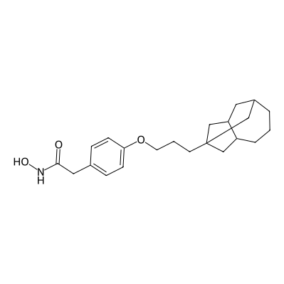 O=C(Cc1ccc(OCCCC23CC4CCCC(C2)C(C4)C3)cc1)NO